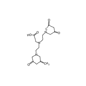 C=C1CC(=O)CN(CCN(CCN2CC(=O)CC(=O)C2)CC(=O)O)C1